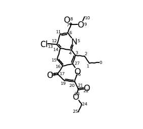 CCCc1c2nc(C(=O)OC)cc(Cl)c2cc2c(=O)cc(C(=O)OCC)oc12